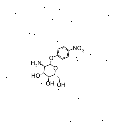 N[C@H]1[C@H](Oc2ccc([N+](=O)[O-])cc2)O[C@H](CO)[C@@H](O)[C@@H]1O